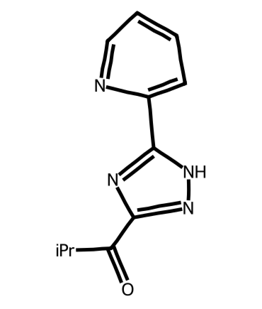 CC(C)C(=O)c1n[nH]c(-c2ccccn2)n1